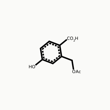 CC(=O)OCc1cc(O)ccc1C(=O)O